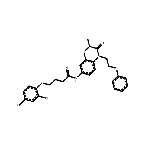 CC1Oc2cc(NC(=O)CCCOc3ccc(Cl)cc3Cl)ccc2N(CCOc2ccccc2)C1=O